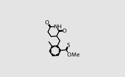 COC(=S)c1cccc(C)c1CC1CCC(=O)NC1=O